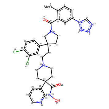 COc1ccc(-n2cnnn2)cc1C(=O)N1CCC(CCN2CCC(C(=O)NO)(c3cccnc3)CC2)(c2ccc(Cl)c(Cl)c2)C1